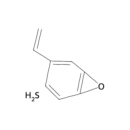 C=Cc1ccc2c(c1)O2.S